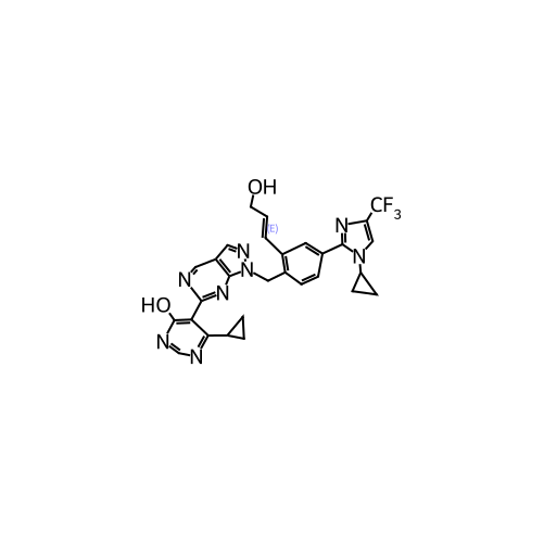 OC/C=C/c1cc(-c2nc(C(F)(F)F)cn2C2CC2)ccc1Cn1ncc2cnc(-c3c(O)ncnc3C3CC3)nc21